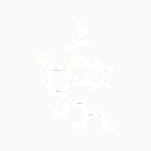 CN(CC(O)CO)c1ccc(N)c2c1c1ccccc1n2CCO